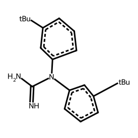 CC(C)(C)c1cccc(N(C(=N)N)c2cccc(C(C)(C)C)c2)c1